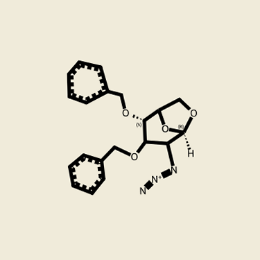 [N-]=[N+]=NC1C(OCc2ccccc2)[C@H](OCc2ccccc2)C2CO[C@@H]1O2